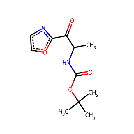 CC(NC(=O)OC(C)(C)C)C(=O)c1ncco1